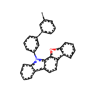 Cc1cccc(-c2cccc(-n3c4ccccc4c4ccc5c6ccccc6oc5c43)c2)c1